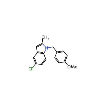 COc1ccc(Cn2c(C)cc3cc(Cl)ccc32)cc1